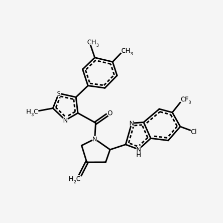 C=C1CC(c2nc3cc(C(F)(F)F)c(Cl)cc3[nH]2)N(C(=O)c2nc(C)sc2-c2ccc(C)c(C)c2)C1